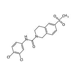 CS(=O)(=O)c1ccc2c(c1)CCN(C(=O)Nc1ccc(Cl)c(Cl)c1)C2